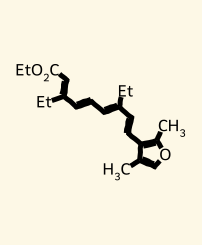 CCOC(=O)C=C(C=CC=C(C=Cc1c(C)coc1C)CC)CC